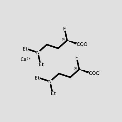 CCN(CC)CC[C@@H](F)C(=O)[O-].CCN(CC)CC[C@@H](F)C(=O)[O-].[Ca+2]